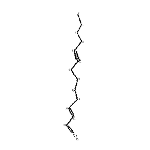 CCCCC=CCCCCC=CC=O